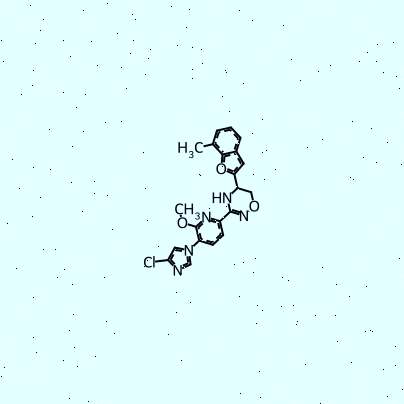 COc1nc(C2=NOCC(c3cc4cccc(C)c4o3)N2)ccc1-n1cnc(Cl)c1